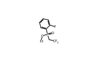 CCOP(=O)(CC(F)(F)F)c1ccccc1F